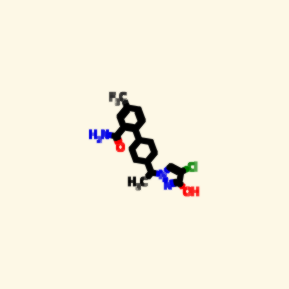 CC(C1CCC(c2ccc(C(F)(F)F)cc2C(N)=O)CC1)n1cc(Cl)c(O)n1